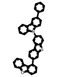 c1ccc(-c2ccc3c(c2)c2ccccc2n3-c2ccc3sc4cc(-c5cccc6oc7ccccc7c56)ccc4c3c2)cc1